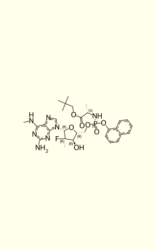 CNc1nc(N)nc2c1ncn2[C@@H]1O[C@H](CO[P@@](=O)(N[C@@H](C)C(=O)OCC(C)(C)C)Oc2cccc3ccccc23)[C@@H](O)[C@@]1(C)F